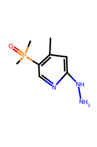 Cc1cc(NN)ncc1P(C)(C)=O